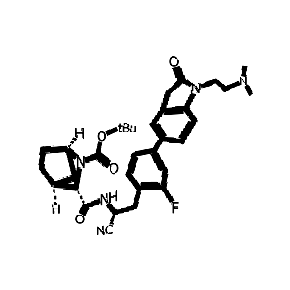 CN(C)CCN1C(=O)Cc2cc(-c3ccc(C[C@@H](C#N)NC(=O)[C@@H]4[C@H]5CC[C@H](C5)N4C(=O)OC(C)(C)C)c(F)c3)ccc21